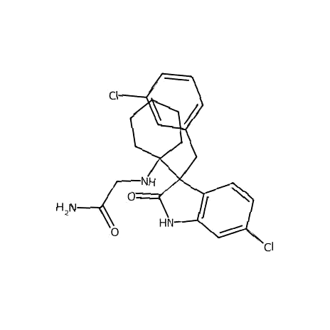 NC(=O)CNC1(C2(Cc3cccc(Cl)c3)C(=O)Nc3cc(Cl)ccc32)CCCCC1